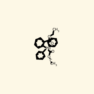 CCOC(=O)c1ccccc1[PH](C(=O)OCC)(c1ccccc1)c1ccccc1